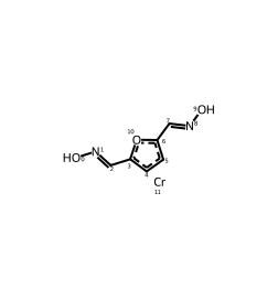 ON=Cc1ccc(C=NO)o1.[Cr]